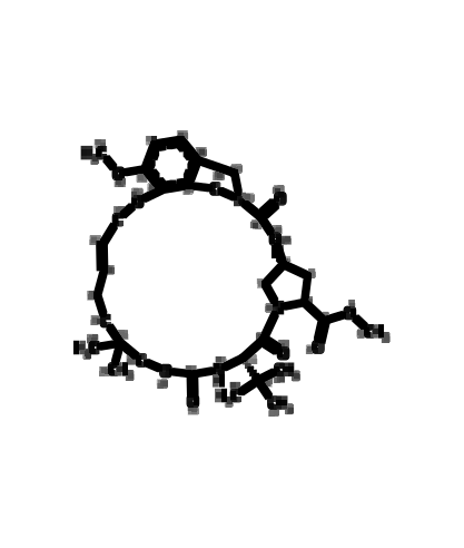 COC(=O)C1C[C@@H]2CN1C(=O)[C@H](C(C)(C)C)NC(=O)OCC(C)(C)CC/C=C/COc1c(OC)ccc3c1CN(C3)C(=O)O2